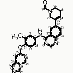 Cc1cc(Nc2ncnc3ccc(C4=CCCN(C=O)C4)cc23)ccc1Oc1cc2nncn2cn1